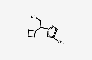 Cc1cnn(C(CC#N)C2CCC2)c1